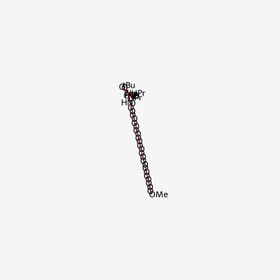 CCCC(=O)NC(C(=O)N[C@@H](CCCCNC(=O)CCOCCOCCOCCOCCOCCOCCOCCOCCOCCOCCOCCOCCOCCOCCOCCOCCOCCOCCOCCOCCOCCOCCOCCOC)C(=O)Nc1ccc(COC(=O)C(C)(C)C)cc1)C(C)C